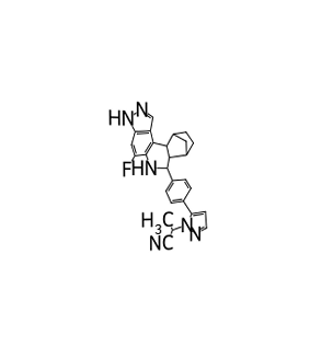 CC(C#N)n1nccc1-c1ccc(C2Nc3c(F)cc4[nH]ncc4c3C3C4CCC(C4)C23)cc1